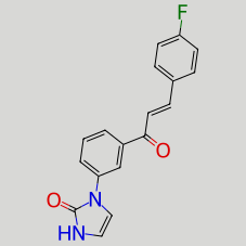 O=C(/C=C/c1ccc(F)cc1)c1cccc(-n2cc[nH]c2=O)c1